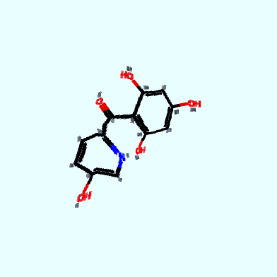 O=C(c1ccc(O)cn1)c1c(O)cc(O)cc1O